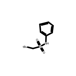 CC(C)(C)CS(=O)(=O)Nc1ccccc1